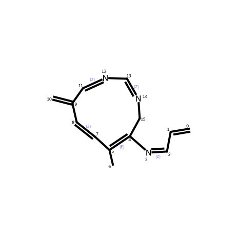 C=C\C=N/C1=C(C)/C=C\C(=C)/C=N\C=N/C1